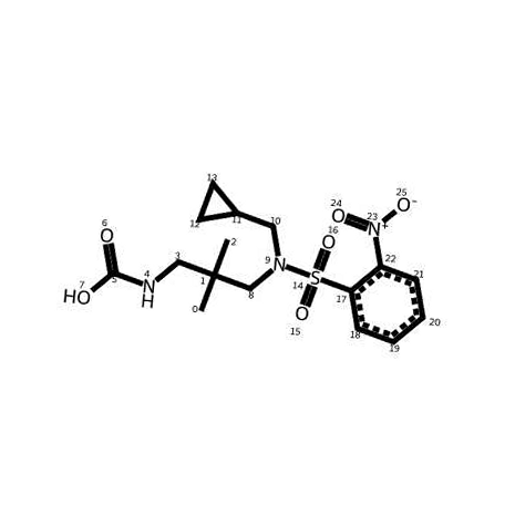 CC(C)(CNC(=O)O)CN(CC1CC1)S(=O)(=O)c1ccccc1[N+](=O)[O-]